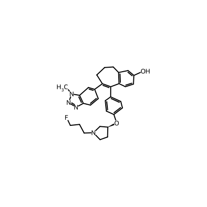 Cn1nnc2ccc(C3=C(c4ccc(O[C@H]5CCN(CCCF)C5)cc4)c4ccc(O)cc4CCC3)cc21